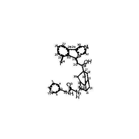 O=C(Nc1cccnc1)NN1C2CC3CC1CC(C(O)CC1c4c(F)cccc4-c4cncn41)(C3)C2